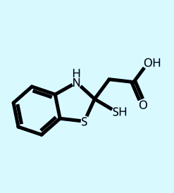 O=C(O)CC1(S)Nc2ccccc2S1